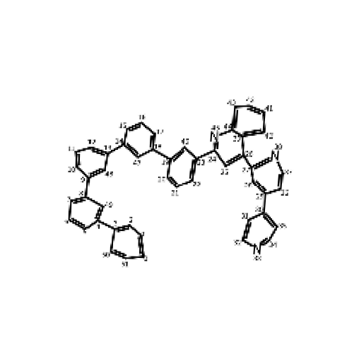 c1ccc(-c2cccc(-c3cccc(-c4cccc(-c5cccc(-c6cc(-c7cc(-c8ccncc8)ccn7)c7ccccc7n6)c5)c4)c3)c2)cc1